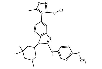 CCOc1noc(C)c1-c1ccc2c(c1)nc(Nc1ccc(OC(F)(F)F)cc1)n2C1CC(C)CC(C)(C)C1